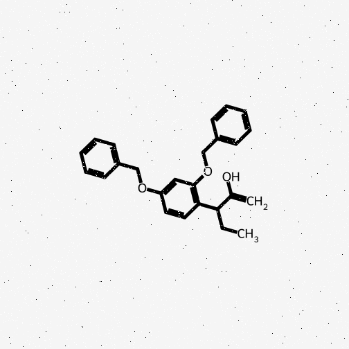 C=C(O)C(CC)c1ccc(OCc2ccccc2)cc1OCc1ccccc1